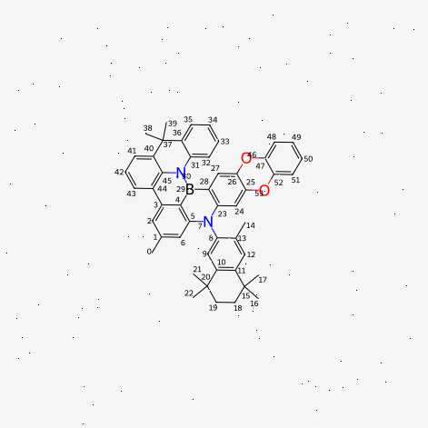 Cc1cc2c3c(c1)N(c1cc4c(cc1C)C(C)(C)CCC4(C)C)c1cc4c(cc1B3N1c3ccccc3C(C)(C)c3cccc-2c31)Oc1ccccc1O4